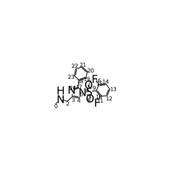 CNCc1cn(S(=O)(=O)c2c(F)cccc2F)c(-c2ccccc2)n1